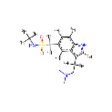 [2H]c1[nH]c2c([2H])c([2H])c(C([2H])([2H])S(=O)(=O)NC([2H])([2H])[2H])c([2H])c2c1C([2H])([2H])CN(C)C